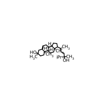 CC(C)[C@@](C)(O)CC[C@@H](C)C1CC[C@H]2[C@@H]3CC=C4C[C@@](C)(O)CC[C@]4(C)[C@H]3CC[C@]12C